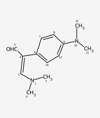 CN(C)/C=C(/C=O)c1ccc(N(C)C)cc1